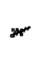 CCCCOC(=O)[C@@H](N)CCCl